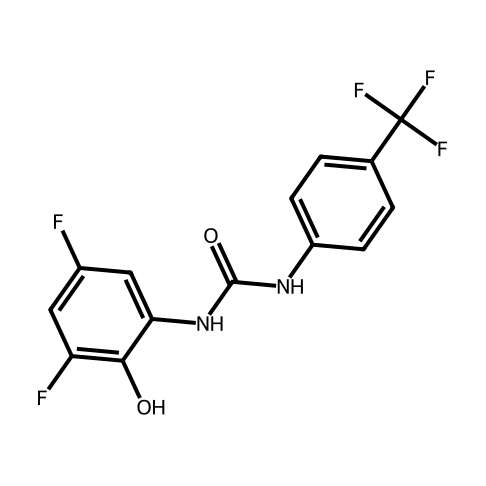 O=C(Nc1ccc(C(F)(F)F)cc1)Nc1cc(F)cc(F)c1O